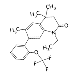 CCN1C(=O)CC(C)(C)c2cc(C)c(-c3ccccc3OC(F)(F)F)cc21